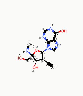 C#C[C@@H]1[C@H](n2cnc3c(O)ncnc32)O[C@@](CO)(N=C)[C@H]1O